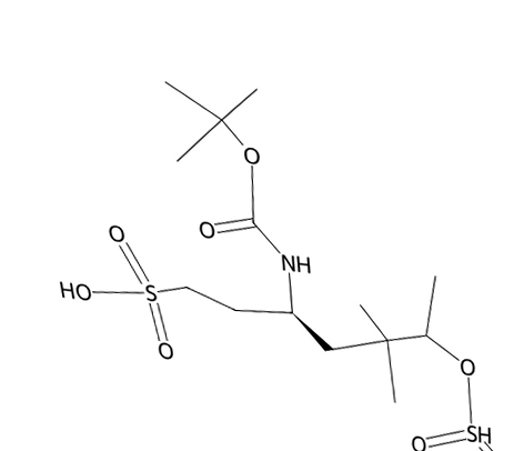 CC(O[SH](=O)=O)C(C)(C)C[C@@H](CCS(=O)(=O)O)NC(=O)OC(C)(C)C